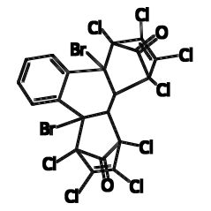 O=C1C2(Cl)C(Cl)=C(Cl)C1(Cl)C1(Br)c3ccccc3C3(Br)C(C21)C1(Cl)C(=O)C3(Cl)C(Cl)=C1Cl